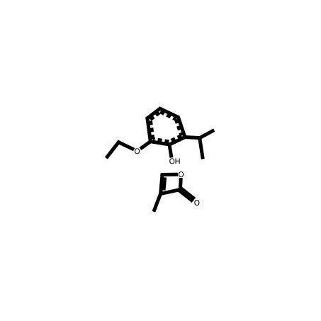 CC1=COC1=O.CCOc1cccc(C(C)C)c1O